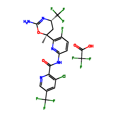 C[C@@]1(c2nc(NC(=O)c3ncc(C(F)(F)F)cc3Cl)ccc2F)C[C@@H](C(F)(F)F)N=C(N)O1.O=C(O)C(F)(F)F